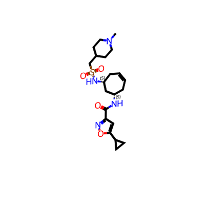 CN1CCC(CS(=O)(=O)N[C@H]2CC=CC[C@H](NC(=O)c3cc(C4CC4)on3)C2)CC1